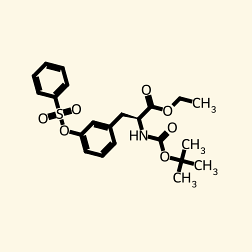 CCOC(=O)[C@H](Cc1cccc(OS(=O)(=O)c2ccccc2)c1)NC(=O)OC(C)(C)C